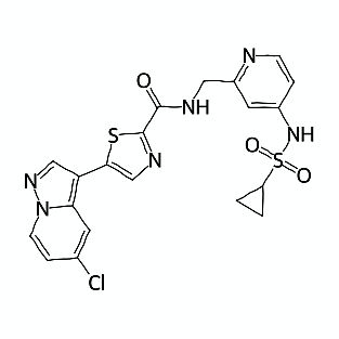 O=C(NCc1cc(NS(=O)(=O)C2CC2)ccn1)c1ncc(-c2cnn3ccc(Cl)cc23)s1